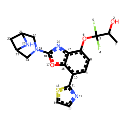 CC(O)C(F)(F)Oc1ccc(-c2nccs2)c2oc(N3CC4CC(C3)N4)nc12